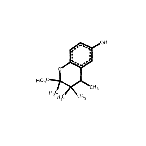 CC1c2cc(O)ccc2OC(C)(C(=O)O)C1(C)C